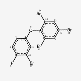 Fc1ccc(Oc2c(Br)cc(Br)cc2Br)cc1Br